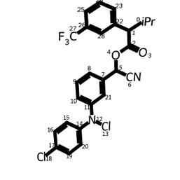 CC(C)C(C(=O)OC(C#N)c1cccc(N(Cl)c2ccc(Cl)cc2)c1)c1cccc(C(F)(F)F)c1